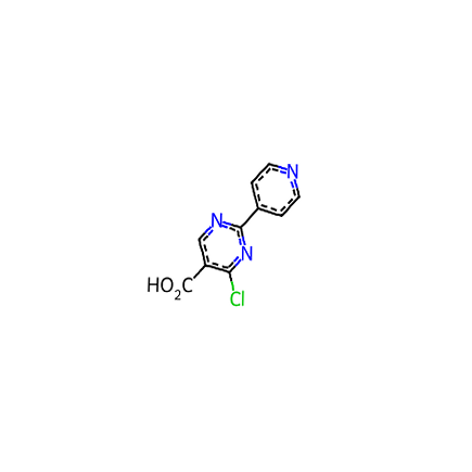 O=C(O)c1cnc(-c2ccncc2)nc1Cl